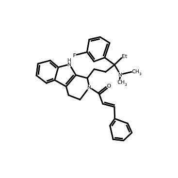 CCC(CCC1c2[nH]c3ccccc3c2CCN1C(=O)/C=C/c1ccccc1)(c1cccc(F)c1)N(C)C